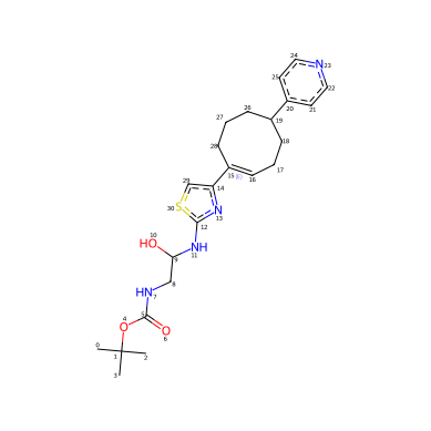 CC(C)(C)OC(=O)NCC(O)Nc1nc(/C2=C/CCC(c3ccncc3)CCC2)cs1